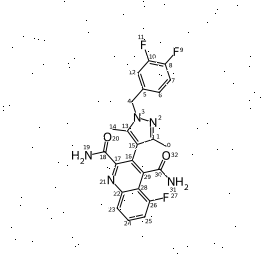 Cc1nn(Cc2ccc(F)c(F)c2)c(C)c1-c1c(C(N)=O)nc2cccc(F)c2c1C(N)=O